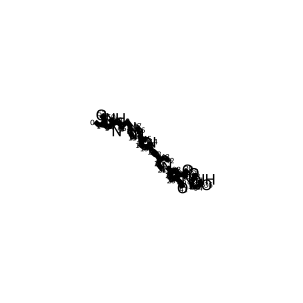 CCc1cc2ncc(CN3CCN(c4ccc(C#CC5CCN(c6ccc7c(c6)C(=O)N(C6CCC(=O)NC6=O)C7=O)CC5)nc4)CC3)cc2[nH]c1=O